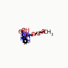 COCCOCCOCCNC(=O)n1c(CNC(=O)O)nc2ccccc21